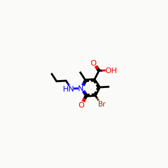 CCCNn1c(C)c(C(=O)O)c(C)c(Br)c1=O